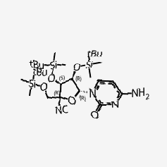 [C-]#[N+][C@]1(CO[Si](C)(C)C(C)(C)C)O[C@@H](n2ccc(N)nc2=O)[C@H](O[Si](C)(C)C(C)(C)C)[C@@H]1O[Si](C)(C)C(C)(C)C